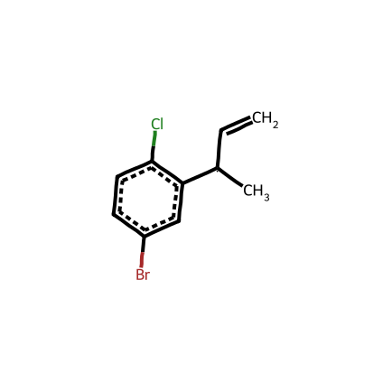 C=C[C](C)c1cc(Br)ccc1Cl